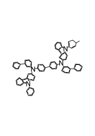 CC1C=CC(n2c3ccccc3c3cc(N(c4ccc(-c5ccc(N(c6cccc(-c7ccccc7)c6)c6ccc7c(c6)c6ccccc6n7-c6ccccc6)cc5)cc4)c4cccc(-c5ccccc5)c4)ccc32)=CC1